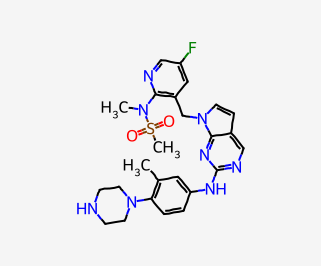 Cc1cc(Nc2ncc3ccn(Cc4cc(F)cnc4N(C)S(C)(=O)=O)c3n2)ccc1N1CCNCC1